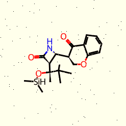 C[SiH](C)O[C@](C)([C@H]1C(=O)N[C@@H]1[C@@H]1COc2ccccc2C1=O)C(C)(C)C